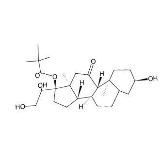 CC(C)(C)C(=O)O[C@]1([C@H](O)CO)CC[C@H]2[C@@H]3CCC4C[C@H](O)CC[C@]4(C)[C@H]3C(=O)C[C@@]21C